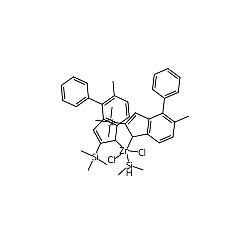 Cc1ccc2c(c1-c1ccccc1)C=C([Si](C)(C)C)[CH]2[Zr]([Cl])([Cl])([CH]1C([Si](C)(C)C)=Cc2c1ccc(C)c2-c1ccccc1)[SiH](C)C